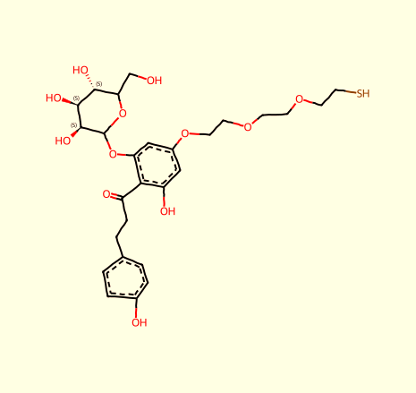 O=C(CCc1ccc(O)cc1)c1c(O)cc(OCCOCCOCCS)cc1OC1OC(CO)[C@@H](O)[C@H](O)[C@@H]1O